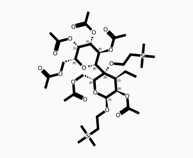 CC[C@H]1[C@@H](OC(C)=O)[C@@H](OCC[Si](C)(C)C)O[C@H](COC(C)=O)[C@@]1(OCC[Si](C)(C)C)[C@@H]1O[C@H](COC(C)=O)[C@H](OC(C)=O)[C@H](OC(C)=O)[C@H]1OC(C)=O